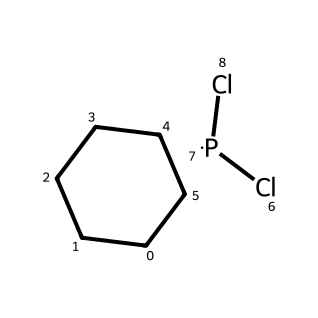 C1CCCCC1.Cl[P]Cl